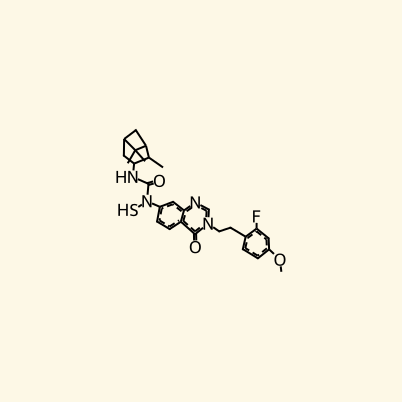 COc1ccc(CCn2cnc3cc(N(S)C(=O)NC4CC5CC(C4C)C5(C)C)ccc3c2=O)c(F)c1